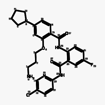 NCCCOc1cc(N2CCCC2)ccc1C(=O)Nc1ccc(F)cc1C(=O)Nc1ccc(Cl)cn1